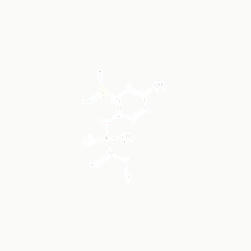 Cc1ccc(OC(C)(C)C(=O)CBr)c([N+](=O)[O-])c1